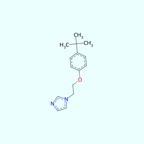 CC(C)(C)c1ccc(OCCn2ccnc2)cc1